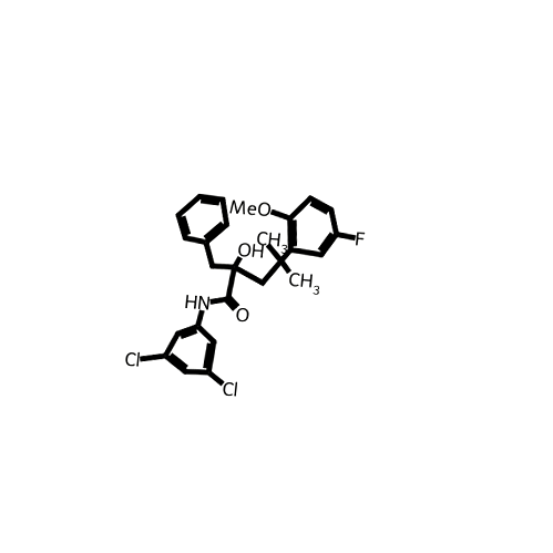 COc1ccc(F)cc1C(C)(C)CC(O)(Cc1ccccc1)C(=O)Nc1cc(Cl)cc(Cl)c1